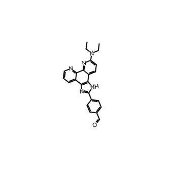 CCN(CC)c1ccc2c(n1)c1ncccc1c1nc(-c3ccc(C=O)cc3)[nH]c21